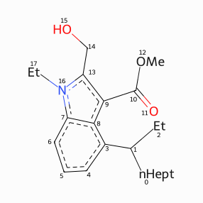 CCCCCCCC(CC)c1cccc2c1c(C(=O)OC)c(CO)n2CC